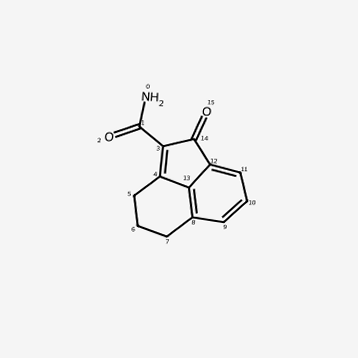 NC(=O)C1=C2CCCc3cccc(c32)C1=O